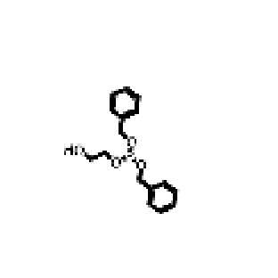 OCCOP(OCc1ccccc1)OCc1ccccc1